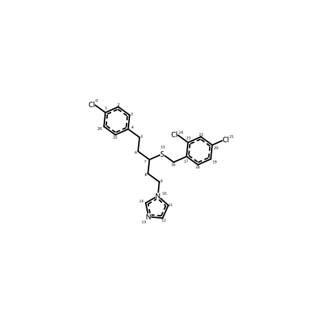 Clc1ccc(CCC(CCn2ccnc2)SCc2ccc(Cl)cc2Cl)cc1